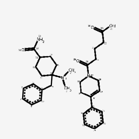 CN(C)C1(Cc2ccccc2)CCC(C(N)=O)CC1.O=C(O)CCCC(=O)N1CC=C(c2ccccc2)CC1